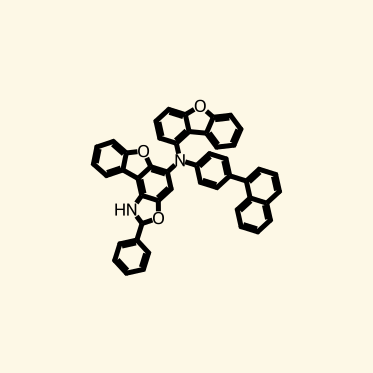 c1ccc(C2Nc3c(cc(N(c4ccc(-c5cccc6ccccc56)cc4)c4cccc5oc6ccccc6c45)c4oc5ccccc5c34)O2)cc1